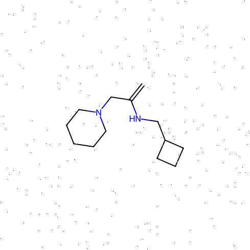 C=C(CN1CCCCC1)NCC1CCC1